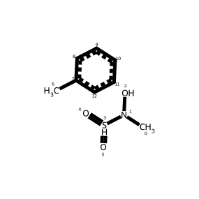 CN(O)[SH](=O)=O.Cc1ccccc1